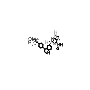 C=C(OC)c1ccc(-c2ccnc3ccc(Nc4nc(NC5CC5)c5nc[nH]c5n4)cc23)cc1